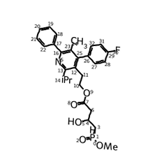 CO[PH](=O)CC(O)CC(=O)OCCc1c(C(C)C)nc(-c2ccccc2)c(C)c1-c1ccc(F)cc1